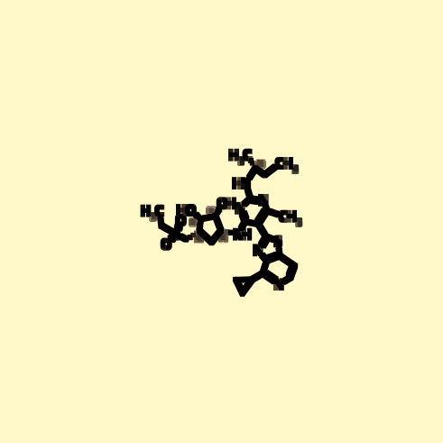 CC[C@@H](C)Nc1nc(C)c(-c2nc3c(C4CC4)nccc3s2)c(N[C@@H]2C[C@H](CS(=O)(=O)CC)[C@@H](O)[C@H]2O)n1